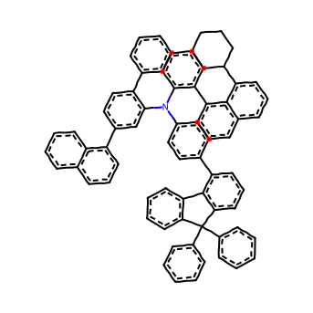 c1ccc(-c2ccc(-c3cccc4ccccc34)cc2N(c2ccc(-c3cccc4c3-c3ccccc3C4(c3ccccc3)c3ccccc3)cc2)c2ccccc2-c2cccc3cccc(C4CCCCC4)c23)cc1